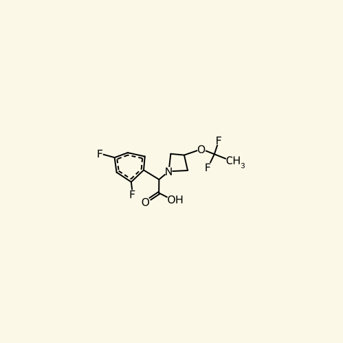 CC(F)(F)OC1CN(C(C(=O)O)c2ccc(F)cc2F)C1